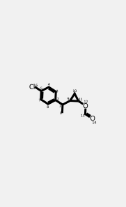 CC(c1ccc(Cl)cc1)C1CC1OC=O